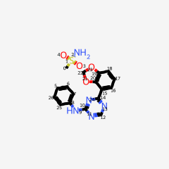 CS(N)(=O)=O.c1ccc(Nc2ncnc(-c3cccc4c3OCO4)n2)cc1